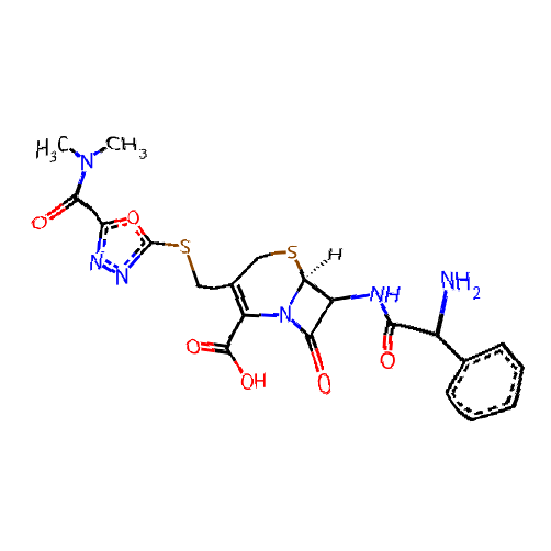 CN(C)C(=O)c1nnc(SCC2=C(C(=O)O)N3C(=O)C(NC(=O)C(N)c4ccccc4)[C@@H]3SC2)o1